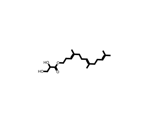 CC(C)=CCCC(C)=CCCC(C)=CCCOC(=O)C(O)CO